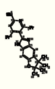 CC(C)c1cc(C(C)(C)C)nc(C(C)C)c1-c1nc2cc3c(cc2[nH]1)OC(C)(C)C3(C)C